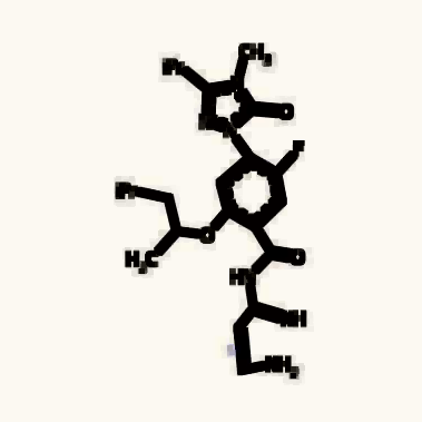 CC(C)CC(C)Oc1cc(-n2nc(C(C)C)n(C)c2=O)c(F)cc1C(=O)NC(=N)/C=C\N